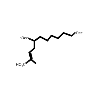 CCCCCCCCCCCCCCCCC(CC=C(C)C(=O)O)CCCCCCCCCC